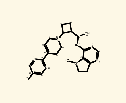 [O-][S+]1CCc2ncnc(N[C@H](O)C3CCC3N3CC=C(c4ncc(Cl)cn4)CC3)c21